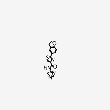 O=C(Nc1ncns1)c1csc(-c2ccc3c(c2)CCO3)n1